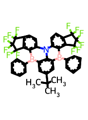 CC(C)(C)c1cc2c3c(c1)B(c1ccccc1)c1c(ccc4c1C(F)(F)C(F)(F)C4(F)F)N3c1ccc3c(c1B2c1ccccc1)C(F)(F)C(F)(F)C3(F)F